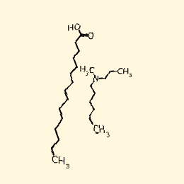 CCCCCCCCCCCCCCC(=O)O.CCCCCCN(C)CCC